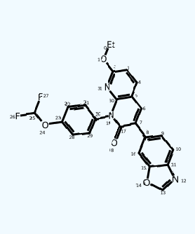 CCOc1ccc2cc(-c3ccc4ncoc4c3)c(=O)n(-c3ccc(OC(F)F)cc3)c2n1